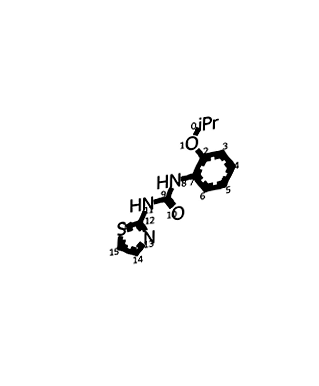 CC(C)Oc1ccccc1NC(=O)Nc1nccs1